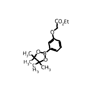 CCOC(=O)COc1cccc(B2OC(C)(C)C(C)(C)O2)c1